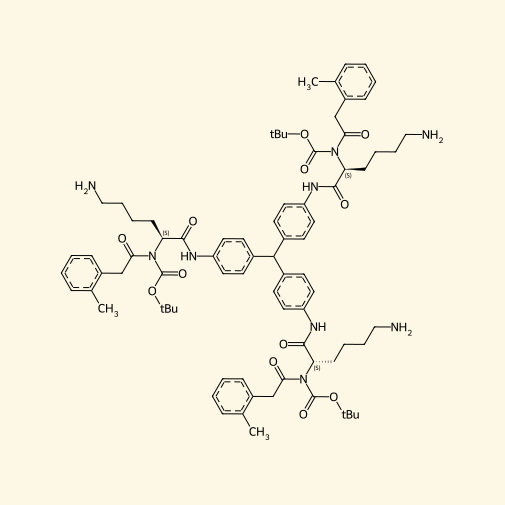 Cc1ccccc1CC(=O)N(C(=O)OC(C)(C)C)[C@@H](CCCCN)C(=O)Nc1ccc(C(c2ccc(NC(=O)[C@H](CCCCN)N(C(=O)Cc3ccccc3C)C(=O)OC(C)(C)C)cc2)c2ccc(NC(=O)[C@H](CCCCN)N(C(=O)Cc3ccccc3C)C(=O)OC(C)(C)C)cc2)cc1